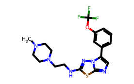 CN1CCN(CCNc2nn3c(-c4cccc(OC(F)(F)F)c4)cnc3s2)CC1